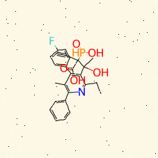 C#CC(C(=O)O)([PH](=O)O)C(C)(O)c1c(CC)nc(-c2ccccc2)c(C)c1-c1ccc(F)cc1